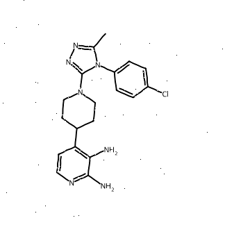 Cc1nnc(N2CCC(c3ccnc(N)c3N)CC2)n1-c1ccc(Cl)cc1